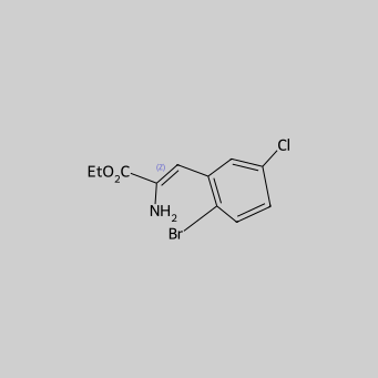 CCOC(=O)/C(N)=C/c1cc(Cl)ccc1Br